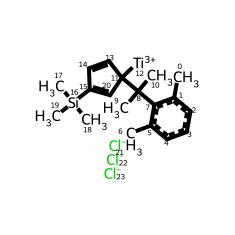 Cc1cccc(C)c1C(C)(C)[C]1([Ti+3])C=CC([Si](C)(C)C)=C1.[Cl-].[Cl-].[Cl-]